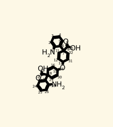 Nc1ccccc1C1(C(=O)O)C=CC(OC2C=CC(C(=O)O)(c3ccccc3N)C=C2)C=C1